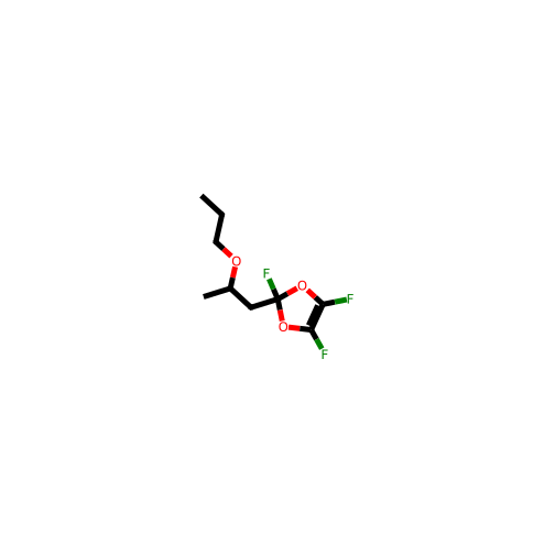 CCCOC(C)CC1(F)OC(F)=C(F)O1